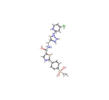 CS(=O)(=O)c1ccc(-c2ncc(C(=O)NCc3cn(-c4cc(Br)ccn4)nn3)s2)cc1